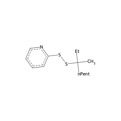 CCCCCC(C)(CC)SSc1ccccn1